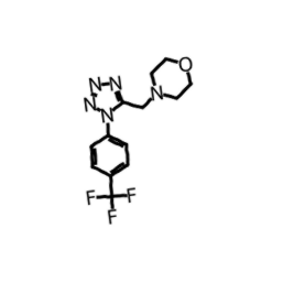 FC(F)(F)c1ccc(-n2nnnc2CN2CCOCC2)cc1